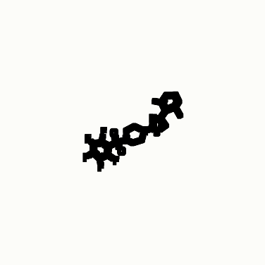 Cc1cccc(C)c1-c1csc(N2CCN(S(=O)(=O)c3c(F)c(F)c(F)c(F)c3F)CC2)n1